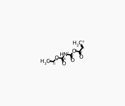 C=CC(=O)OC(=O)NC(=O)OCC